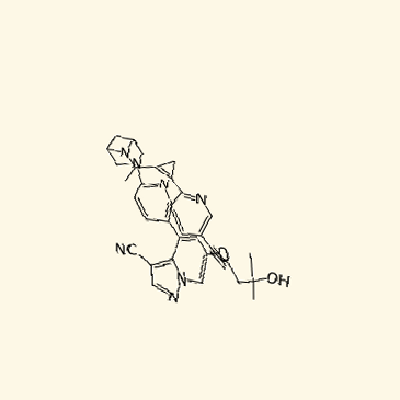 C#Cc1ccc(C2=C(C(C)N3C4CC3CN(c3ccc(-c5cc(OCC(C)(C)O)cn6ncc(C#N)c56)cn3)C4)C2)nc1